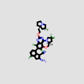 N#CC1=C(N)Cc2c(F)ccc(-c3c(Cl)c4c5c(nc(OCC[C@@]67CCCN6C[C@H](F)C7)nc5c3F)N3CC(F)(F)C[C@H]3CO4)c21